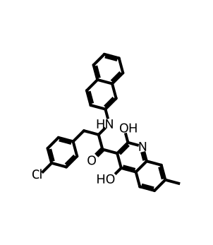 Cc1ccc2c(O)c(C(=O)C(Cc3ccc(Cl)cc3)Nc3ccc4ccccc4c3)c(O)nc2c1